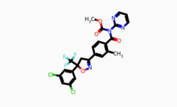 COC(=O)N(C(=O)c1ccc(C2=NOC(c3cc(Cl)cc(Cl)c3)(C(F)(F)F)C2)cc1C)c1ncccn1